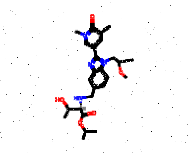 COC(C)Cn1c(-c2cc(C)c(=O)n(C)c2)nc2cc(CN[C@H](C(=O)OC(C)C)C(C)O)ccc21